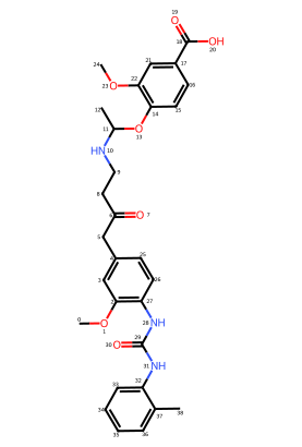 COc1cc(CC(=O)CCNC(C)Oc2ccc(C(=O)O)cc2OC)ccc1NC(=O)Nc1ccccc1C